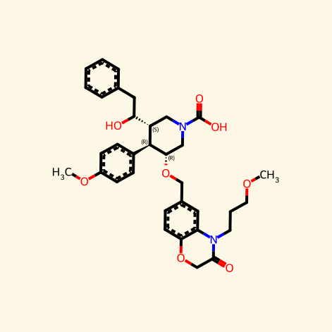 COCCCN1C(=O)COc2ccc(CO[C@H]3CN(C(=O)O)C[C@@H](C(O)Cc4ccccc4)[C@@H]3c3ccc(OC)cc3)cc21